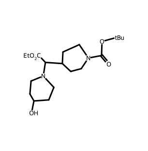 CCOC(=O)C(C1CCN(C(=O)OC(C)(C)C)CC1)N1CCC(O)CC1